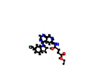 CCOC(=O)C=CC(=O)Nc1cc2c(N3CCc4ccc(Cl)cc43)ncnc2cn1